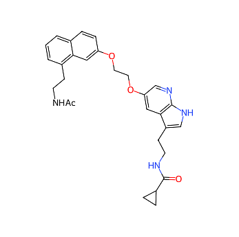 CC(=O)NCCc1cccc2ccc(OCCOc3cnc4[nH]cc(CCNC(=O)C5CC5)c4c3)cc12